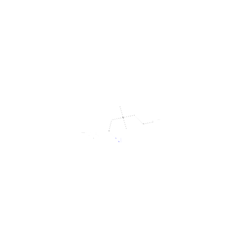 CC(C)(CCC(F)(F)F)C[C@H](N)C(=O)O